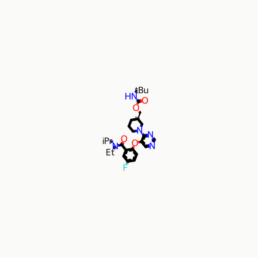 CCN(C(=O)c1cc(F)ccc1Oc1cncnc1N1CCC[C@@H](COC(=O)NC(C)(C)C)C1)C(C)C